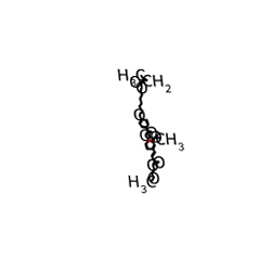 C=C(C)C(=O)OCCCCCCOc1ccc(C(=O)Oc2ccc(/C=C/C(=O)OCCOC)cc2OC)cc1